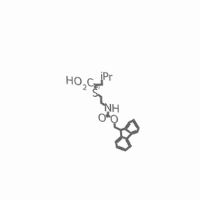 CC(C)C[C@H](SCCNC(=O)OCC1c2ccccc2-c2ccccc21)C(=O)O